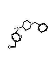 O=Cc1ccc(NC2CCN(Cc3ccccc3)CC2)nc1